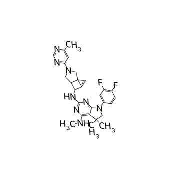 CNc1nc(NC2C3=CC34CN(c3cc(C)ncn3)CC24)nc2c1C(C)(C)CN2c1ccc(F)c(F)c1